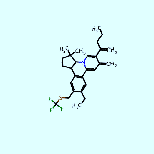 C=C1C=C2c3cc(CC)c(CSC(F)(F)F)cc3C3CCC(C)(C)C3N2C=C1C(=C)CCC